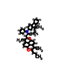 C=C/C=C1/OC2=CC=C3C(=C)C(CC(=C)N(c4ccccc4)C4C=CC5=C(C4)C(C)(C)c4ccccc45)OC4=CC=C(C1=C)C2C43